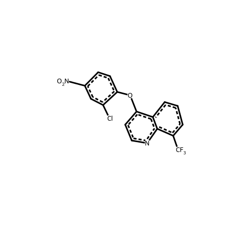 O=[N+]([O-])c1ccc(Oc2ccnc3c(C(F)(F)F)cccc23)c(Cl)c1